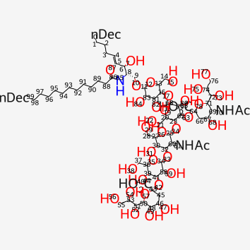 CCCCCCCCCCCCC/C=C/[C@@H](O)[C@H](CO[C@@H]1OC(CO)[C@@H](O[C@@H]2OC(CO)[C@H](O[C@@H]3OC(CO)[C@H](O)[C@H](O[C@@H]4OC(CO)[C@H](O)[C@H](O[C@]5(C(=O)O)CC(O)[C@@H](O)C([C@H](O)[C@H](O)CO)O5)C4O)C3NC(C)=O)[C@H](O[C@]3(C(=O)O)CC(O)[C@@H](NC(C)=O)C([C@H](O)[C@H](O)CO)O3)C2O)[C@H](O)C1O)NC(=O)CCCCCCCCCCCCCCCCCCCCC